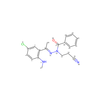 CNc1ccc(Cl)cc1/C(C)=N/N(CCC#N)C(=O)c1ccccc1